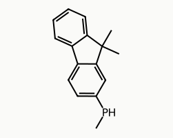 CPc1ccc2c(c1)C(C)(C)c1ccccc1-2